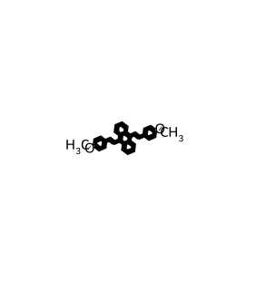 COc1ccc(C=Cc2c3ccccc3c(C=Cc3ccc(OC)cc3)c3ccccc23)cc1